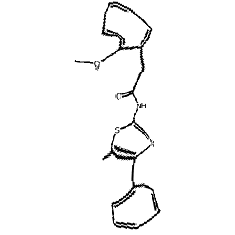 COc1ccccc1CC(=O)Nc1nc(-c2ccccc2)c(C)s1